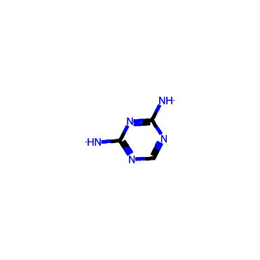 [NH]c1ncnc([NH])n1